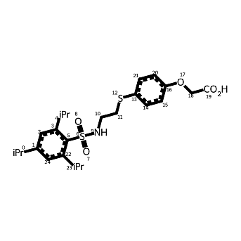 CC(C)c1cc(C(C)C)c(S(=O)(=O)NCCSc2ccc(OCC(=O)O)cc2)c(C(C)C)c1